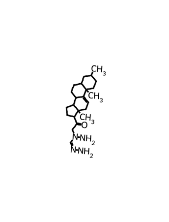 CC1CCC2(C)C3=CCC4(C)C(C(=O)CN(N)/C=N\N)CCC4C3CCC2C1